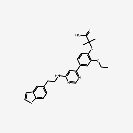 CCOc1cc(-c2cc(NCCc3ccc4sccc4c3)ncn2)ccc1OC(C)(C)C(=O)O